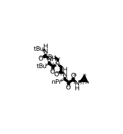 CCC[C@H](NC(=O)CN(CC(C)CC)C(=O)[C@@H](NC(=O)NC(C)(C)C)C(C)(C)C)C(=O)C(=O)NC1CC1